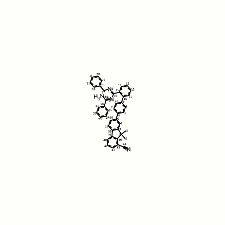 CC1(C)c2cc(-c3ccc(-c4ccccc4C(/N=C(\N)c4ccccc4)=N/Cc4ccccc4)cc3)ccc2-c2cccc(C#N)c21